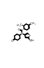 CC1=CC[C@H](C(=O)N(c2csc(C(C)(C)C)c2)C2CCC(=O)CC2)[C@@H](C)C1